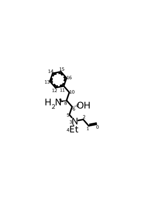 C=CCN(CC)C[C@@H](O)[C@@H](N)Cc1ccccc1